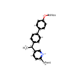 CCCCCCOc1ccc(-c2ccc(C(C)c3ccc(CCCCC)nc3)cc2)cc1